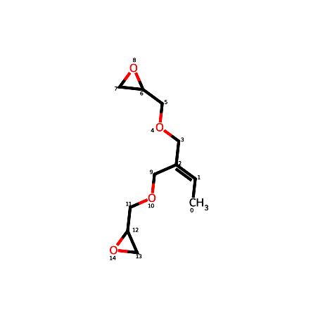 CC=C(COCC1CO1)COCC1CO1